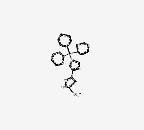 O=C(O)c1cc(-c2cn(C(c3ccccc3)(c3ccccc3)c3ccccc3)cn2)n[nH]1